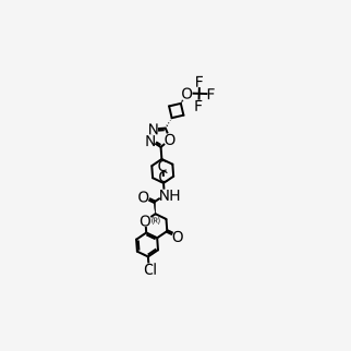 O=C1C[C@H](C(=O)NC23CCC(c4nnc([C@H]5C[C@@H](OC(F)(F)F)C5)o4)(CC2)CC3)Oc2ccc(Cl)cc21